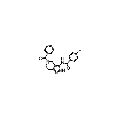 O=C(Nc1[nH]nc2c1CN(C(=O)c1ccccc1)CC2)c1ccc(F)cc1